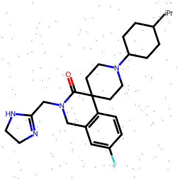 CC(C)C1CCC(N2CCC3(CC2)C(=O)N(CC2=NCCN2)Cc2cc(F)ccc23)CC1